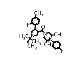 CCC(C)(C)N1CC(C(=O)N2C[C@@H](C)N(c3ccc(F)cc3)[C@@H](C)C2)C(c2ccc(C)cc2F)C1